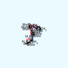 CC[C@H](OC)[C@@H](C)[C@@H]1C[C@H]1[C@H](O)[C@@H](C)/C=C/C=C(\C)[C@H]1O[C@H](OC)[C@H](OC)[C@@H](OC)[C@H]1OCCO[C@H]1O[C@H](/C(C)=C/C=C/[C@H](C)[C@@H](O)[C@@H]2C[C@H]2[C@H](C)[C@H](CC)OC)[C@@H](OC)[C@H](OC)[C@@H]1OC